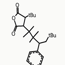 CC(C)(C)CC(c1ccccc1)C(C)(C)C(C)(C)C1C(=O)OC(=O)C1C(C)(C)C